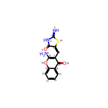 N=C1NC(=O)/C(=C\c2c(N)oc3ccccc3c2=O)S1